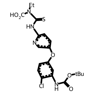 CCN(C(=O)O)C(=S)Nc1ccc(Oc2ccc(Cl)c(NC(=O)OC(C)(C)C)c2)cn1